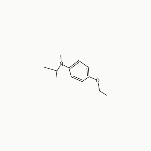 CCOc1ccc(N(C)C(C)C)cc1